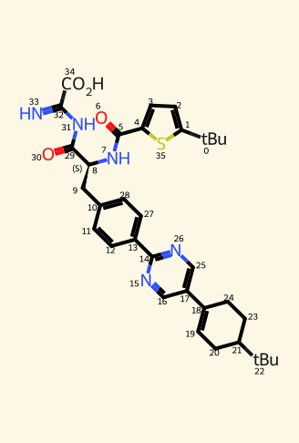 CC(C)(C)c1ccc(C(=O)N[C@@H](Cc2ccc(-c3ncc(C4=CCC(C(C)(C)C)CC4)cn3)cc2)C(=O)NC(=N)C(=O)O)s1